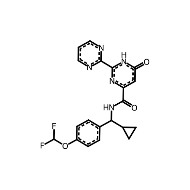 O=C(NC(c1ccc(OC(F)F)cc1)C1CC1)c1cc(=O)[nH]c(-c2ncccn2)n1